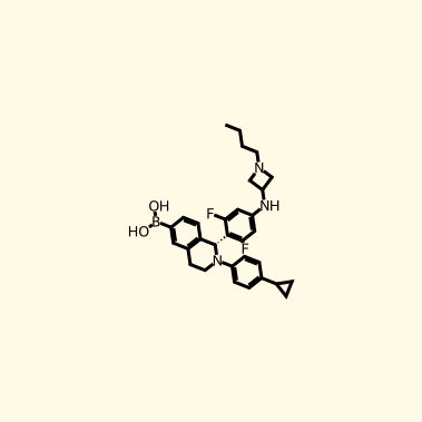 CCCCN1CC(Nc2cc(F)c([C@H]3c4ccc(B(O)O)cc4CCN3c3ccc(C4CC4)cc3)c(F)c2)C1